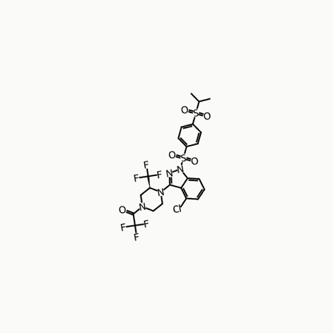 CC(C)S(=O)(=O)c1ccc(S(=O)(=O)n2nc(N3CCN(C(=O)C(F)(F)F)C[C@H]3C(F)(F)F)c3c(Cl)cccc32)cc1